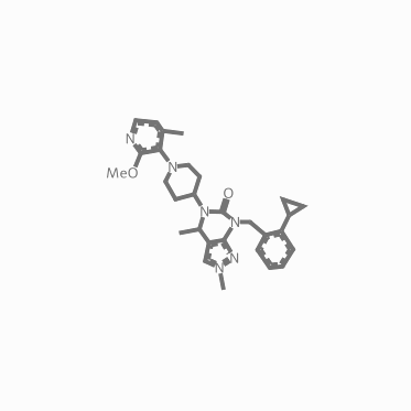 COc1nccc(C)c1N1CCC(N2C(=O)N(Cc3ccccc3C3CC3)c3nn(C)cc3C2C)CC1